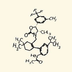 CC(=O)Nc1ccc(C(C)C)cc1C1=C(CN2C(=O)O[C@H](c3cc(C)cc(C(F)(F)F)c3)[C@@H]2C)CC(C)(C)CC1